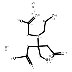 NCC(CC(=O)[O-])(CC(=O)[O-])N(CCO)CC(=O)[O-].[K+].[K+].[K+]